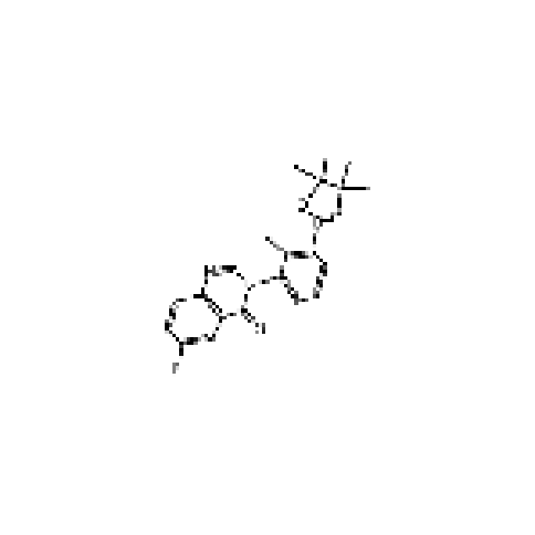 Cc1c(B2OC(C)(C)C(C)(C)O2)cccc1-n1cnc2ccc(F)cc2c1=O